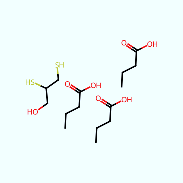 CCCC(=O)O.CCCC(=O)O.CCCC(=O)O.OCC(S)CS